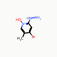 Cc1c[n+](O)c(NN)cc1Br